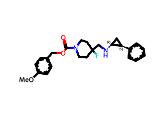 COc1ccc(COC(=O)N2CCC(F)(CN[C@@H]3C[C@H]3c3ccccc3)CC2)cc1